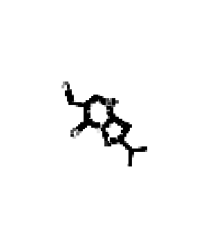 CC(C)c1cc2[nH]cc(C=O)c(=O)n2n1